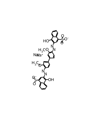 COc1cc(-c2ccc(/N=N/c3cc(S(=O)(=O)[O-])c4ccccc4c3O)c(OC)c2)ccc1/N=N/c1cc(S(=O)[O-])c2ccccc2c1O.[Na+].[Na+]